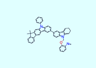 C=Nc1ccccc1OCn1c2c(c3cc(-c4ccc5c(c4)c4cc6c(cc4n5-c4ccccc4)C(C)(C)c4ccccc4-6)ccc31)=CCCC=2